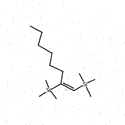 CCCCCC/C(=C\[Si](C)(C)C)[Si](C)(C)C